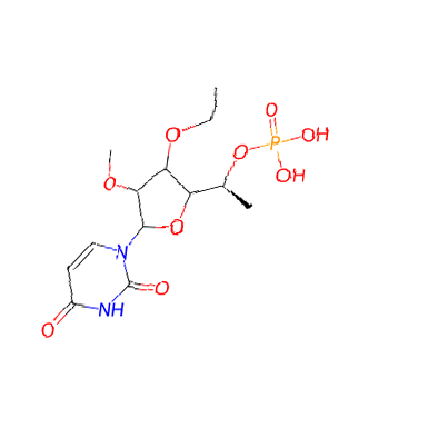 CCOC1C(OC)C(n2ccc(=O)[nH]c2=O)OC1[C@H](C)OP(=O)(O)O